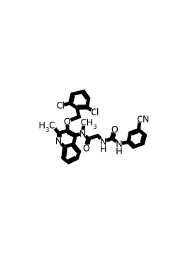 Cc1nc2ccccc2c(N(C)C(=O)CNC(=O)Nc2cccc(C#N)c2)c1OCc1c(Cl)cccc1Cl